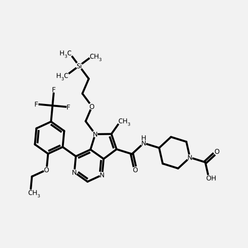 CCOc1ccc(C(F)(F)F)cc1-c1ncnc2c(C(=O)NC3CCN(C(=O)O)CC3)c(C)n(COCC[Si](C)(C)C)c12